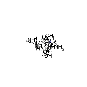 CC1(C)[C@H](NC(=O)/C(=N\O[C@](C)(C(=O)O)[C@H]2CCc3cc(C(=N)NCCCC4(N)CC4)ccc3O2)c2csc(N)n2)C(=O)N1OS(=O)(=O)O